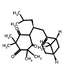 CC(C)C[C@@H](CC1=CC[C@H]2C[C@@H]1C2(C)C)C1C(=O)C(C)(C)C(=O)C(C)(C)C1=O